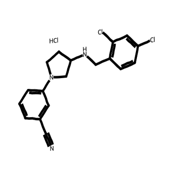 Cl.N#Cc1cccc(N2CCC(NCc3ccc(Cl)cc3Cl)C2)c1